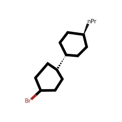 CCC[C@H]1CC[C@H](C2CCC(Br)CC2)CC1